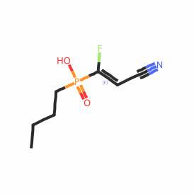 CCCCP(=O)(O)/C(F)=C/C#N